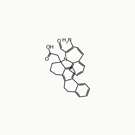 NC1=C(C=O)N(C2(CC(=O)O)CCCc3c2ccc2c3CCc3ccccc3-2)c2ccccc2C=C1